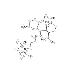 CC1CCC(C(C)C)C(C(O[SiH2]CCCN([Si](C)(C)C)[Si](C)(C)C)C2CC(C)CCC2C(C)C)C1